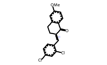 COc1ccc2c(c1)CC/C(=C\c1ccc(Cl)cc1Cl)C2=O